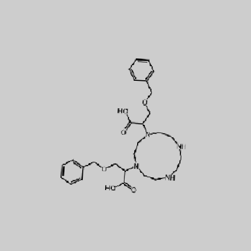 O=C(O)C(COCc1ccccc1)N1CCNCCNCCN(C(COCc2ccccc2)C(=O)O)CC1